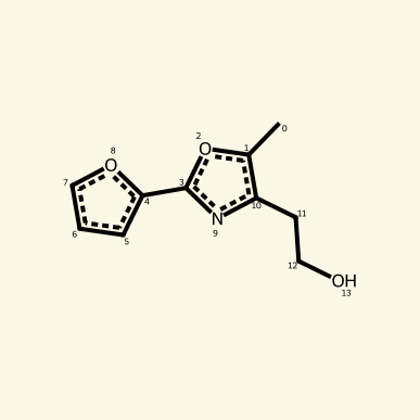 Cc1oc(-c2ccco2)nc1CCO